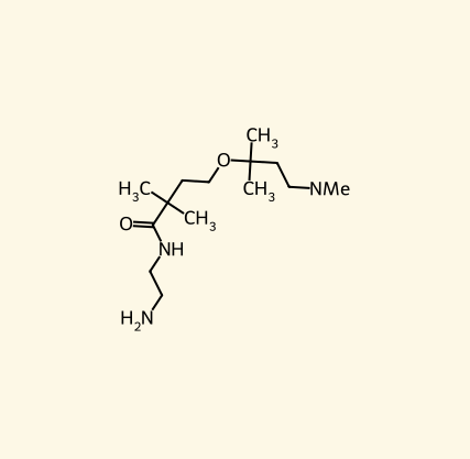 CNCCC(C)(C)OCCC(C)(C)C(=O)NCCN